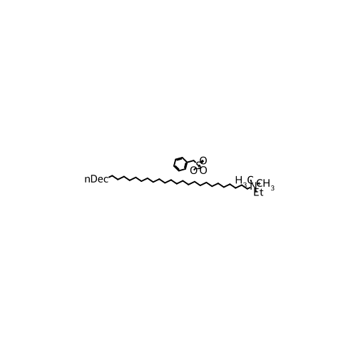 CCCCCCCCCCCCCCCCCCCCCCCCCCCCCCCCCC[N+](C)(C)CC.O=S(=O)([O-])Cc1ccccc1